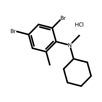 Cc1cc(Br)cc(Br)c1N(C)C1CCCCC1.Cl